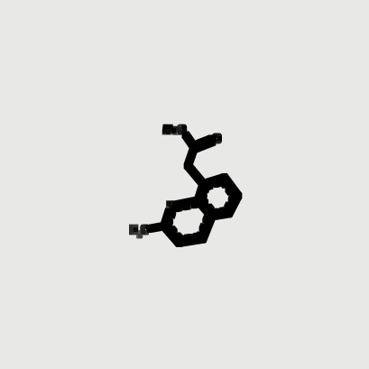 COC(=O)Cc1cccc2ccc(C)nc12